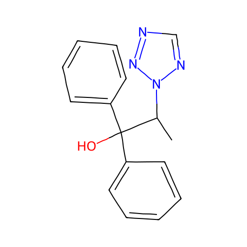 CC(n1ncnn1)C(O)(c1ccccc1)c1ccccc1